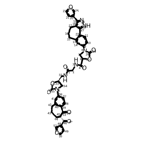 O=C(CNC(=O)C1CN(c2ccc3c(c2)CCCc2c(-c4ccoc4)n[nH]c2-3)C(=O)O1)NC[C@H]1CN(c2ccc3c(c2)CCC[C@@H](C(=O)c2ccoc2)C3=O)C(=O)O1